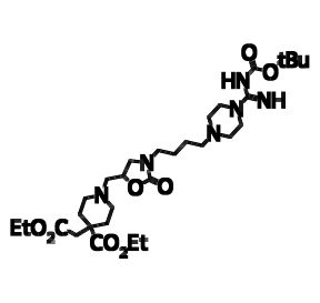 CCOC(=O)CC1(C(=O)OCC)CCN(CC2CN(CCCCN3CCN(C(=N)NC(=O)OC(C)(C)C)CC3)C(=O)O2)CC1